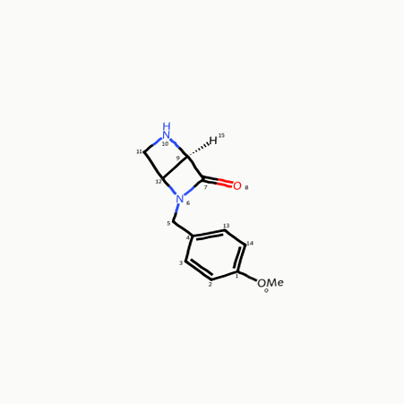 COc1ccc(CN2C(=O)[C@@H]3NCC32)cc1